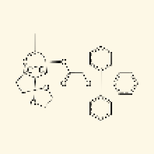 C/C1=C/CC23CCCC(C2C2(CC3)OCCO2)[C@H](OC(=O)COC(c2ccccc2)(c2ccccc2)c2ccccc2)C1